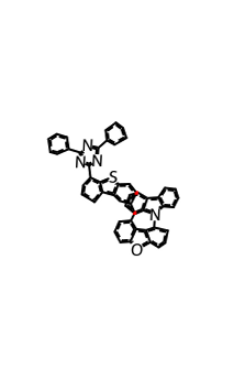 c1ccc(-c2nc(-c3ccccc3)nc(-c3cccc4c3sc3ccc(Cc5cccc6oc7cccc(-n8c9ccccc9c9ccccc98)c7c56)cc34)n2)cc1